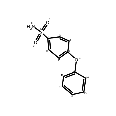 NS(=O)(=O)c1[c]cc(Oc2ccccc2)cc1